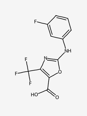 O=C(O)c1oc(Nc2cccc(F)c2)nc1C(F)(F)F